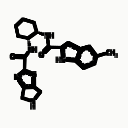 Cc1ccc2[nH]c(C(=O)N[C@H]3CCCC[C@H]3NC(=O)c3nc4c(s3)CNC4)cc2c1